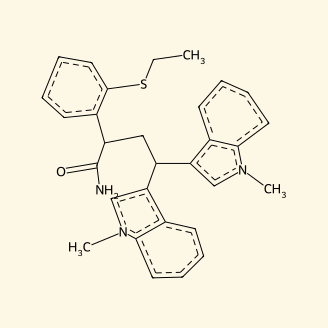 CCSc1ccccc1C(CC(c1cn(C)c2ccccc12)c1cn(C)c2ccccc12)C(N)=O